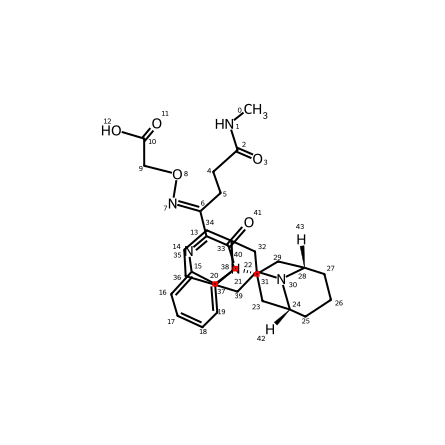 CNC(=O)CCC(=NOCC(=O)O)c1nc2ccccc2n([C@H]2C[C@H]3CCC[C@@H](C2)N3C2CC3CCCC(C3)C2)c1=O